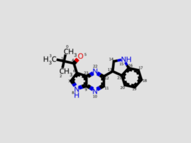 CC(C)(C)C(=O)c1c[nH]c2ncc(C3CNc4ccccc43)nc12